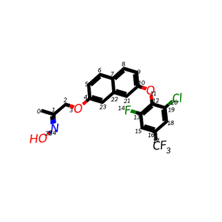 CC(COc1ccc2ccc(Oc3c(F)cc(C(F)(F)F)cc3Cl)cc2c1)=NO